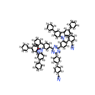 N#Cc1ccc(-c2ccc(-c3nc(-c4ccc(-c5ccccc5C#N)c(-n5c6ccc(-c7ccccc7)cc6c6cc(-c7ccccc7)ccc65)c4)nc(-c4ccc(-c5ccccc5C#N)c(-n5c6ccc(-c7ccccc7)cc6c6cc(-c7ccccc7)ccc65)c4)n3)cc2)cc1